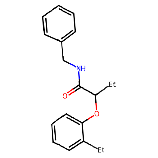 CCc1ccccc1OC(CC)C(=O)NCc1ccccc1